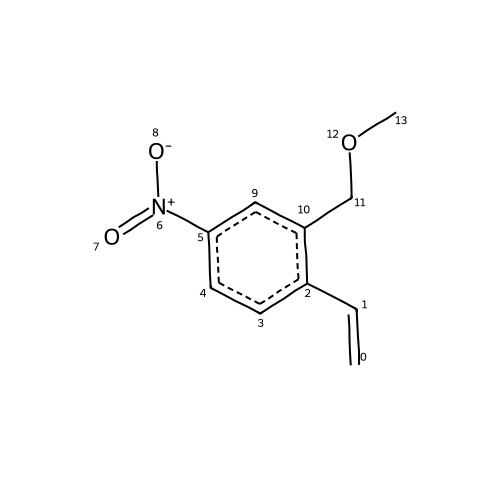 C=Cc1ccc([N+](=O)[O-])cc1COC